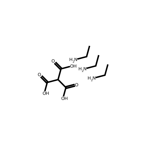 CCN.CCN.CCN.O=C(O)C(C(=O)O)C(=O)O